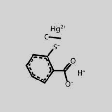 O=C([O-])c1ccccc1[S-].[CH2-]C.[H+].[Hg+2]